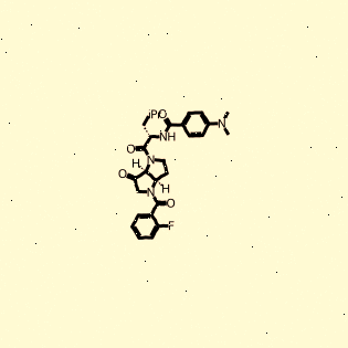 CC(C)C[C@H](NC(=O)c1ccc(N(C)C)cc1)C(=O)N1CC[C@@H]2[C@H]1C(=O)CN2C(=O)c1ccccc1F